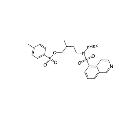 CCCCCCN(CCC(C)COS(=O)(=O)c1ccc(C)cc1)S(=O)(=O)c1cccc2cnccc12